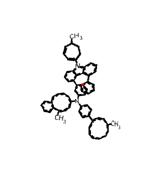 Cc1ccccccc(-c2ccc(N(c3ccccc4ccccc4c(C)cc3)c3cccc(-c4cccc5c4c4c(-c6ccccc6)cccc4n5C4=CC=CC(C)CC4)c3)cc2)cc1